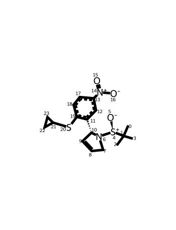 CC(C)(C)[S@+]([O-])N1CC=C[C@@H]1c1cc([N+](=O)[O-])ccc1SC1CC1